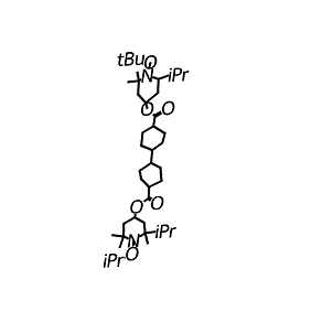 CC(C)ON1C(C)(C)CC(OC(=O)C2CCC(C3CCC(C(=O)OC4CC(C(C)C)N(OC(C)(C)C)C(C)(C)C4)CC3)CC2)CC1(C)C(C)C